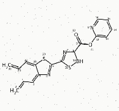 C=C/C=c1/nc(C2=NC(C(=O)Oc3ccccn3)BS2)s/c1=C/C=C